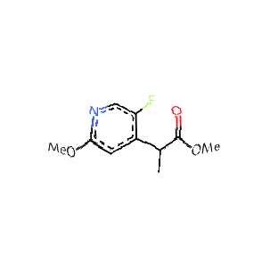 COC(=O)C(C)c1cc(OC)ncc1F